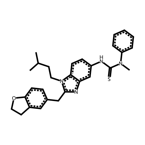 CC(C)CCn1c(Cc2ccc3c(c2)CCO3)nc2cc(NC(=S)N(C)c3ccccc3)ccc21